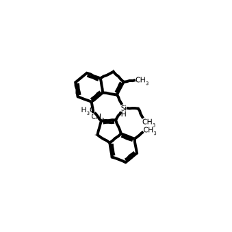 CC[SiH](C1=C(C)[CH]c2cccc(C)c21)C1=C(C)[CH]c2cccc(C)c21